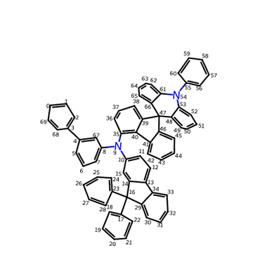 c1ccc(-c2cccc(N(c3ccc4c(c3)C(c3ccccc3)(c3ccccc3)c3ccccc3-4)c3cccc4c3-c3ccccc3C43c4ccccc4N(c4ccccc4)c4ccccc43)c2)cc1